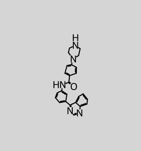 O=C(Nc1cccc(-c2ncnc3ccccc23)c1)c1ccc(N2CCNCC2)cc1